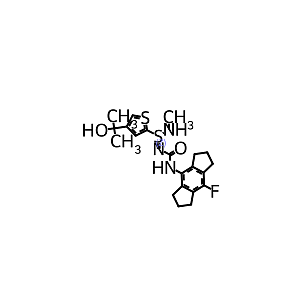 CN/S(=N\C(=O)Nc1c2c(c(F)c3c1CCC3)CCC2)c1cc(C(C)(C)O)cs1